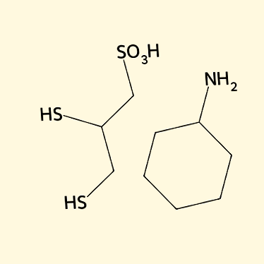 NC1CCCCC1.O=S(=O)(O)CC(S)CS